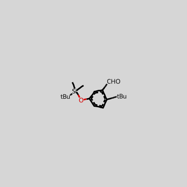 CC(C)(C)c1ccc(O[Si](C)(C)C(C)(C)C)cc1C=O